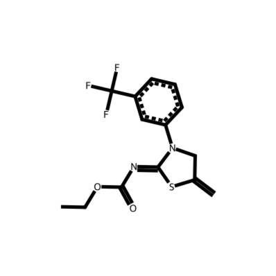 C=C1CN(c2cccc(C(F)(F)F)c2)C(=NC(=O)OCC)S1